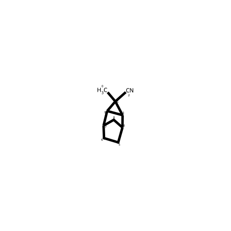 CC1(C#N)C2C3CCC(C3)C21